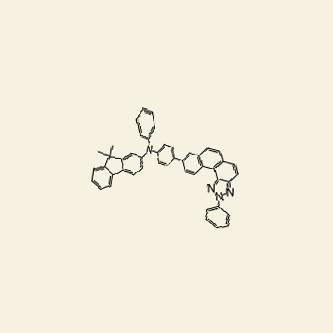 CC1(C)c2ccccc2-c2ccc(N(c3ccccc3)c3ccc(-c4ccc5c(ccc6ccc7nn(-c8ccccc8)nc7c65)c4)cc3)cc21